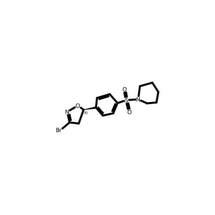 O=S(=O)(c1ccc([C@H]2CC(Br)=NO2)cc1)N1CCCCC1